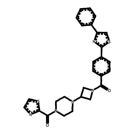 O=C(c1ccc(-c2nc(-c3ccccc3)cs2)cc1)N1CC(N2CCN(C(=O)c3nccs3)CC2)C1